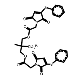 CC(COC(=O)CN1C(=O)C=C(Sc2ccccc2)C1=O)(COC(=O)CN1C(=O)C=C(Sc2ccccc2)C1=O)C(=O)O